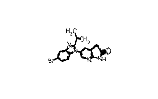 CC(C)c1nc2cc(Br)ccc2n1-c1cnc2c(c1)CC(=O)N2